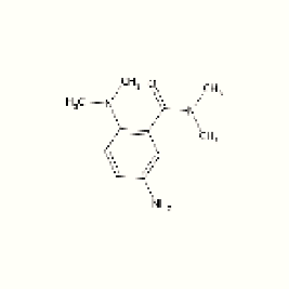 CN(C)C(=O)c1cc(N)ccc1N(C)C